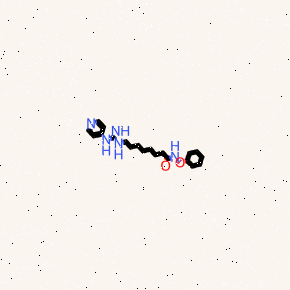 N=C(NCCCCCCCC(=O)NOC1CCCCC1)Nc1ccncc1